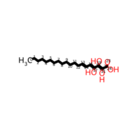 CCCCCCCCCCCCCC=CC=C(O)C(O)=C(O)C(=O)O